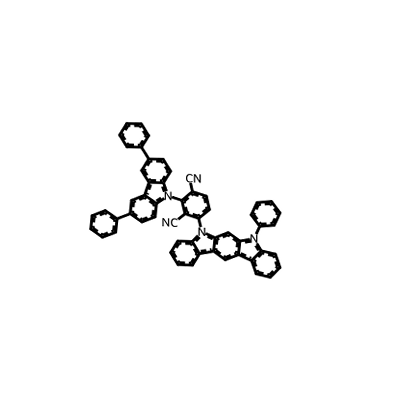 N#Cc1ccc(-n2c3ccccc3c3cc4c5ccccc5n(-c5ccccc5)c4cc32)c(C#N)c1-n1c2ccc(-c3ccccc3)cc2c2cc(-c3ccccc3)ccc21